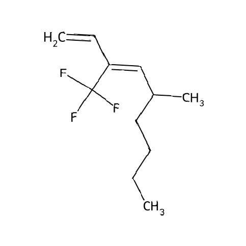 C=C/C(=C/C(C)CCCC)C(F)(F)F